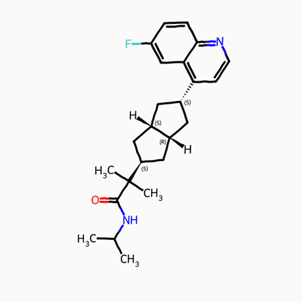 CC(C)NC(=O)C(C)(C)[C@@H]1C[C@H]2C[C@@H](c3ccnc4ccc(F)cc34)C[C@H]2C1